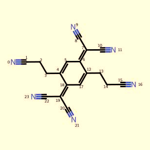 N#CCCc1cc(=C(C#N)C#N)c(CCC#N)cc1=C(C#N)C#N